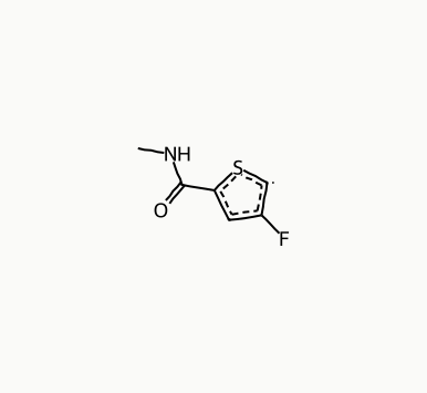 CNC(=O)c1cc(F)[c]s1